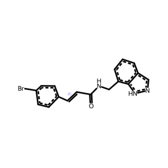 O=C(/C=C/c1ccc(Br)cc1)NCc1cccc2cn[nH]c12